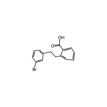 O=C(O)c1ccccc1CCc1cccc(Br)c1